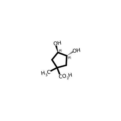 CC1(C(=O)O)C[C@@H](O)[C@H](O)C1